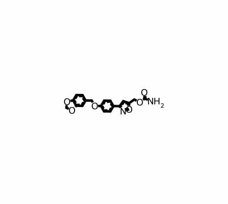 NC(=O)OCc1cc(-c2ccc(OCc3ccc4c(c3)OCO4)cc2)no1